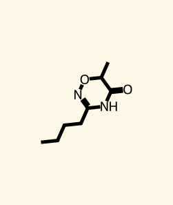 CCCCC1=NOC(C)C(=O)N1